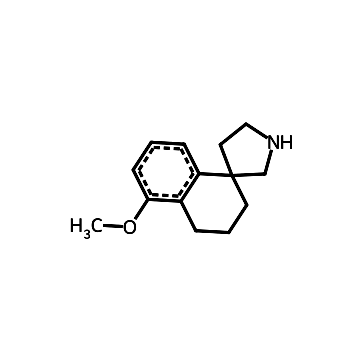 COc1cccc2c1CCCC21CCNC1